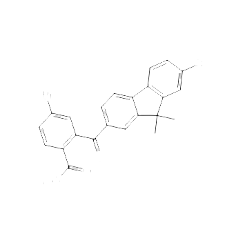 CC1(C)c2cc(Br)ccc2-c2ccc(C(=O)c3cc(Br)ccc3C(=O)O)cc21